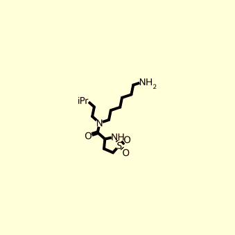 CC(C)CCN(CCCCCCN)C(=O)C1CCS(=O)(=O)N1